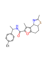 CCc1ccc(C(C)NC(=O)c2oc3c(c2C)C2N=C(C)SC2CC3)cc1